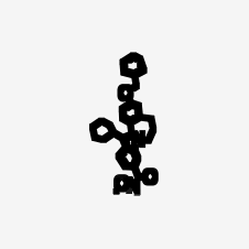 CON(C)C(=O)c1ccc2c(C3CCCCC3)c3n(c2c1)CCCc1cc(OCc2ccccc2)ccc1-3